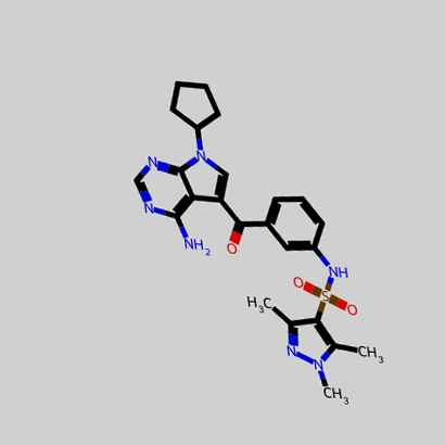 Cc1nn(C)c(C)c1S(=O)(=O)Nc1cccc(C(=O)c2cn(C3CCCC3)c3ncnc(N)c23)c1